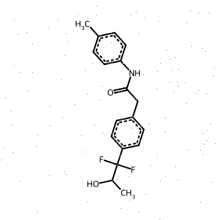 Cc1ccc(NC(=O)Cc2ccc(C(F)(F)C(C)O)cc2)cc1